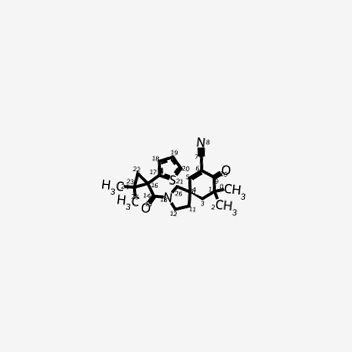 CC1(C)C[C@@]2(C=C(C#N)C1=O)CCN(C(=O)C1(c3cccs3)CC1(C)C)C2